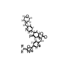 O=c1oc2cc(-c3ccc(CN4CCOCC4)nc3)c(F)cc2n1Cc1ccc(-c2nnc(C(F)F)o2)cn1